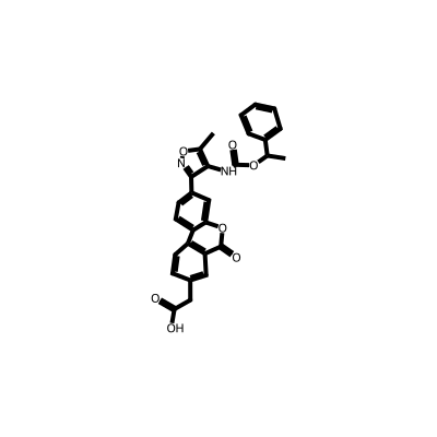 Cc1onc(-c2ccc3c(c2)oc(=O)c2cc(CC(=O)O)ccc23)c1NC(=O)OC(C)c1ccccc1